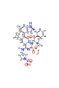 CCS(=O)(=O)c1nc(N(C)[C@H]2CCN(C(=O)O)C2)c2cc(C3CC3)c(-c3c(C)c(F)cc4[nH]ncc34)c(OC(CC(C)(C)C)c3ccccc3)c2n1